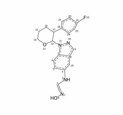 ON=CNc1ccc2c(cnn2C2OCCCC2c2ccc(F)cc2)c1